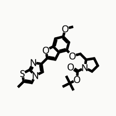 COc1cc(OCC2CCCN2C(=O)OC(C)(C)C)c2cc(-c3cn4cc(C)sc4n3)oc2c1